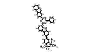 CC1(C)CC(C)(C)c2cc(-c3ccc4oc5c(-c6nc(-c7ccccc7)nc(-c7ccc8c(c7)sc7ccccc78)n6)cccc5c4c3)ccc21